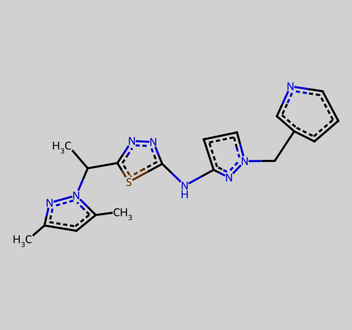 Cc1cc(C)n(C(C)c2nnc(Nc3ccn(Cc4cccnc4)n3)s2)n1